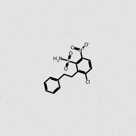 NS(=O)(=O)c1c([N+](=O)[O-])ccc(Cl)c1CCc1ccccc1